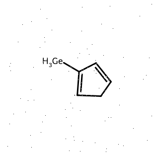 [GeH3][C]1=[C]CC=C1